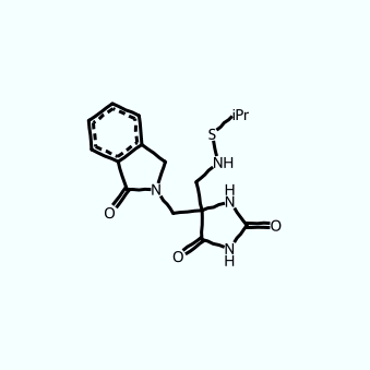 CC(C)SNCC1(CN2Cc3ccccc3C2=O)NC(=O)NC1=O